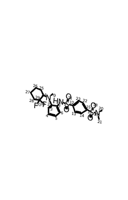 CN(c1ccccc1NS(=O)(=O)c1ccc(S(=O)(=O)N(C)C)cc1)C1CCCCC1(F)F